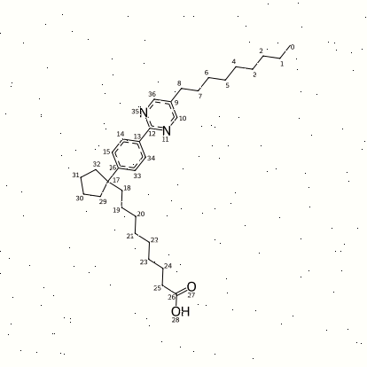 CCCCCCCCCc1cnc(-c2ccc(C3(CCCCCCCCC(=O)O)CCCC3)cc2)nc1